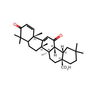 CC1(C)CC[C@]2(C(=O)O)CC[C@]3(C)[C@H](C(=O)C=C4[C@@]5(C)C=CC(=O)C(C)(C)C5CC[C@]43C)[C@@H]2C1